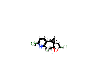 Cc1nc(Cl)ccc1[C@H]1C[C@]1(CCCl)C(=O)Cl